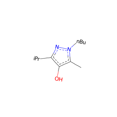 CCCCn1nc(C(C)C)c(O)c1C